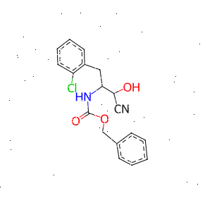 N#CC(O)C(Cc1ccccc1Cl)NC(=O)OCc1ccccc1